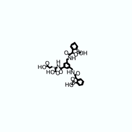 O=C(O)CC[C@H](NC(=O)c1cc(CNC(=O)C2OB(O)c3ccccc32)cc(CNC(=O)C2OB(O)c3ccccc32)c1)C(=O)O